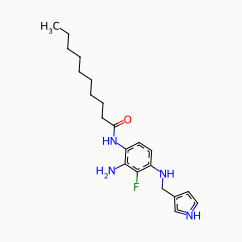 CCCCCCCCCC(=O)Nc1ccc(NCc2cc[nH]c2)c(F)c1N